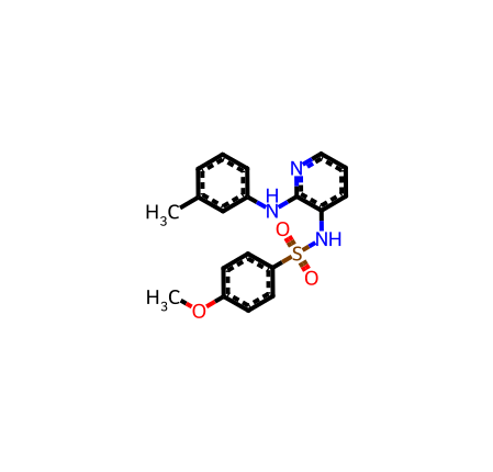 COc1ccc(S(=O)(=O)Nc2cccnc2Nc2cccc(C)c2)cc1